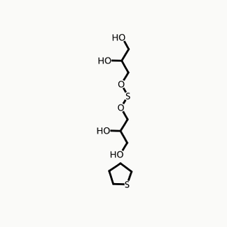 C1CCSC1.OCC(O)COSOCC(O)CO